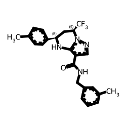 Cc1ccc([C@H]2C[C@@H](C(F)(F)F)n3ncc(C(=O)NCc4cccc(C)c4)c3N2)cc1